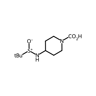 CC(C)(C)[S+]([O-])NC1CCN(C(=O)O)CC1